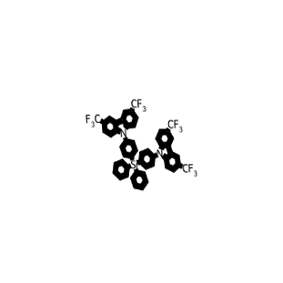 FC(F)(F)c1ccc2c(c1)c1cc(C(F)(F)F)ccc1n2-c1ccc([Si](c2ccccc2)(c2ccccc2)c2ccc(-n3c4ccc(C(F)(F)F)cc4c4cc(C(F)(F)F)ccc43)cc2)cc1